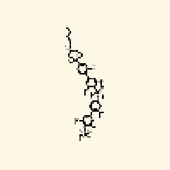 CCCCOC1COC(c2ccc(-c3cc(F)c(C(F)(F)Oc4ccc(-c5cc(F)c(OC(F)(F)F)c(F)c5)c(F)c4)c(F)c3)c(F)c2)OC1